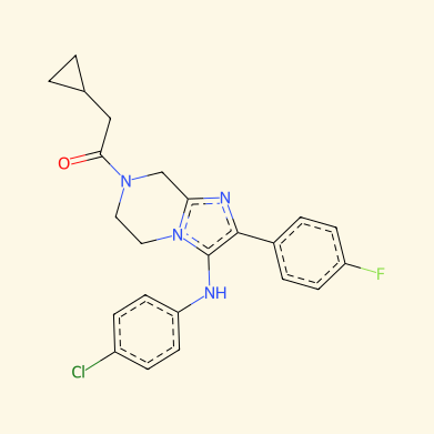 O=C(CC1CC1)N1CCn2c(nc(-c3ccc(F)cc3)c2Nc2ccc(Cl)cc2)C1